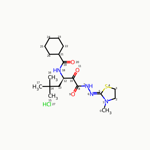 CN1CCSC1=NNC(=O)C(=O)[C@@H](CC(C)(C)C)NC(=O)C1CCCCC1.Cl